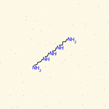 NCCCCCNCCCNCCCNCCCCCN